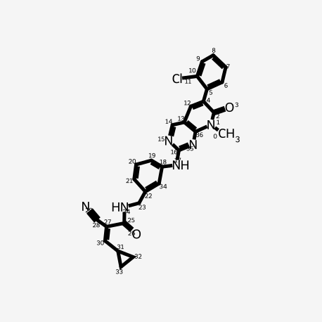 Cn1c(=O)c(-c2ccccc2Cl)cc2cnc(Nc3cccc(CNC(=O)/C(C#N)=C\C4CC4)c3)nc21